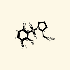 COC[C@@H]1CCCN1S(=O)(=O)c1c(Cl)ccc([N+](=O)[O-])c1Cl